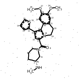 CN[C@@H]1CCCN(C(=O)c2cc(-c3cccs3)c3n2CCc2cc(OC)c(OC)cc2-3)C1